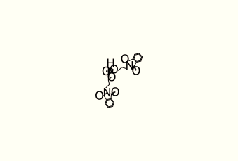 O=C1c2ccccc2C(=O)N1CCCO[PH](=O)OCCCN1C(=O)c2ccccc2C1=O